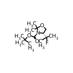 CC(C)(C)OC(=O)N1[C@@H](C(C)(C)F)COC1(C)C